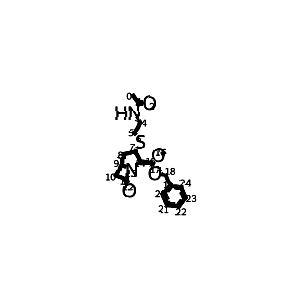 CC(=O)NCCSC1CC2CC(=O)N2C1C(=O)OCc1ccccc1